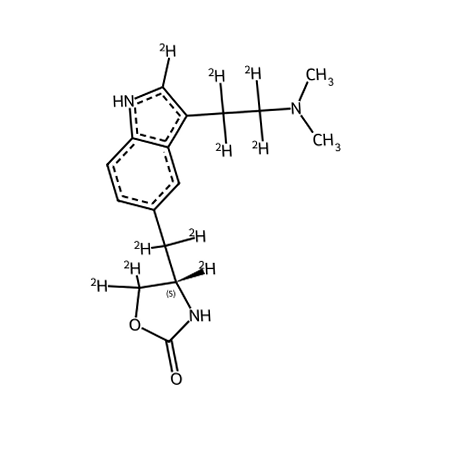 [2H]c1[nH]c2ccc(C([2H])([2H])[C@]3([2H])NC(=O)OC3([2H])[2H])cc2c1C([2H])([2H])C([2H])([2H])N(C)C